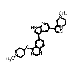 CN1CCC(Oc2ncnc3ccc(-c4c[nH]c5ncc(-c6cnn7c6CN(C)CC7)cc45)cc23)CC1